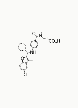 Cc1c(C(Nc2ccc(C(=O)N(C)CCC(=O)O)cc2)C2CCCCC2)oc2ccc(Cl)cc12